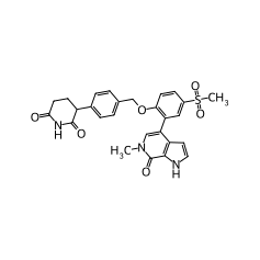 Cn1cc(-c2cc(S(C)(=O)=O)ccc2OCc2ccc(C3CCC(=O)NC3=O)cc2)c2cc[nH]c2c1=O